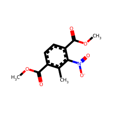 COC(=O)c1ccc(C(=O)OC)c([N+](=O)[O-])c1C